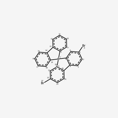 Brc1ccc2c(c1)[B-]1(c3ccccc3-c3ccccc31)[n+]1cc(Br)ccc1-2